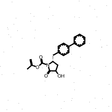 C=C(C)OC(=O)N1C(=O)C(O)C[C@H]1Cc1ccc(-c2ccccc2)cc1